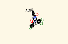 CC(=O)Nc1ccc(C(=O)N2CC[C@@H](N(C)C(=O)c3ccc(Cl)cc3)[C@H](c3ccc(Cl)c(Cl)c3)C2)cc1